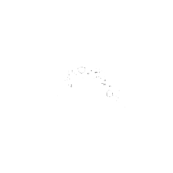 C[C@H](NC(=O)C(N)CCC(=O)O)C(=O)Nc1ccc2c(c1)[C@@]1(C)CCC[C@](C)(C(=O)NC(=O)[C@@]3(C)CCC[C@]4(C)c5cc(NC(=O)OC(C)(C)C)ccc5CC[C@@H]34)[C@@H]1CC2